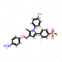 Cc1c(COc2ccc(N)cc2)cc(-c2ccc(S(C)(=O)=O)cc2)n1-c1ccc(F)cc1